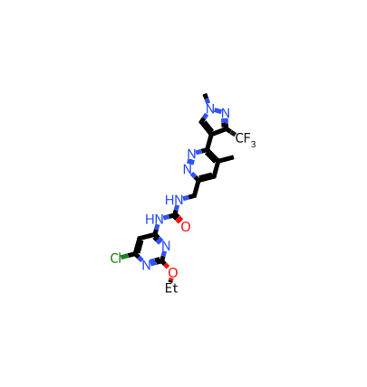 CCOc1nc(Cl)cc(NC(=O)NCc2cc(C)c(-c3cn(C)nc3C(F)(F)F)nn2)n1